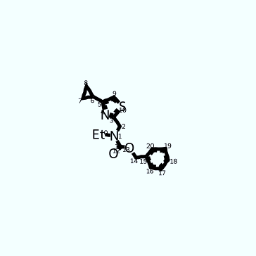 CCN(Cc1nc(C2CC2)cs1)C(=O)OCc1ccccc1